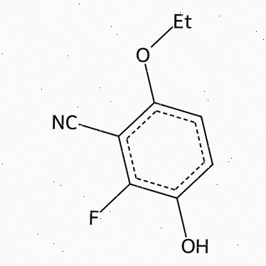 CCOc1ccc(O)c(F)c1C#N